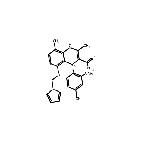 COc1cc(C#N)ccc1[C@H]1C(C(N)=O)=C(C)Nc2c(C)cnc(OCn3cccc3)c21